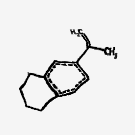 C=C(C)c1ccc2c(c1)[C]CCC2